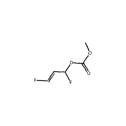 COC(=O)OC(F)C=CF